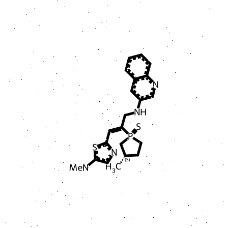 CNc1cnc(C=C(CNc2cnc3ccccc3c2)P2(=S)CC[C@H](C)C2)s1